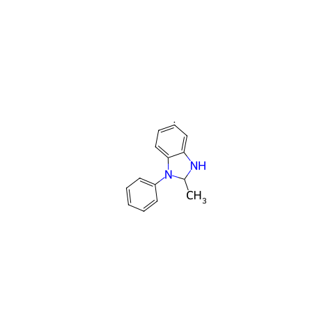 CC1Nc2c[c]ccc2N1c1ccccc1